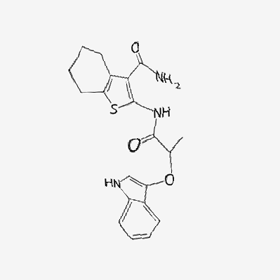 CC(Oc1c[nH]c2ccccc12)C(=O)Nc1sc2c(c1C(N)=O)CCCC2